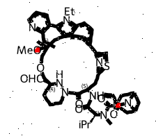 C=CC(=O)N1C2CC1CN(C(=O)N(C)[C@H](C(=O)N[C@H]1Cc3nc(cs3)-c3ccc4c(c3)c(c(-c3cccnc3[C@H](C)OC)n4CC)CC(C)(C)COC[C@@]3(C=O)CCCN(N3)C1=O)C(C)C)C2